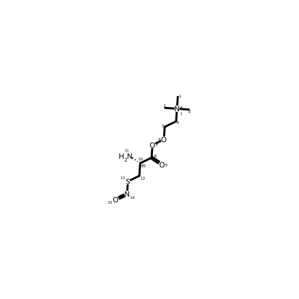 C[N+](C)(C)CCOOC(=O)[C@@H](N)CSN=O